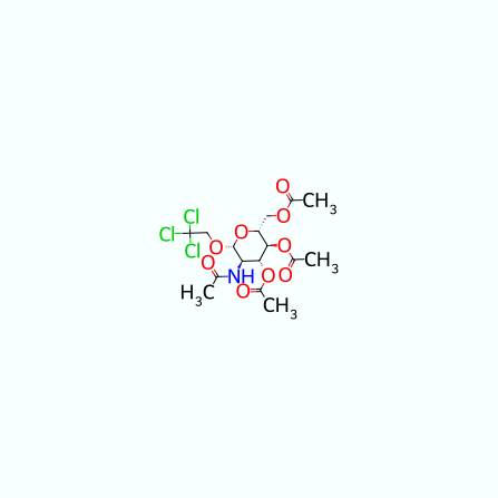 CC(=O)N[C@H]1[C@H](OCC(Cl)(Cl)Cl)O[C@H](COC(C)=O)[C@@H](OC(C)=O)[C@@H]1OC(C)=O